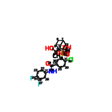 C[C@H](O)[C@@H](O)[C@]1(O)C2CC1C[C@@H](S(=O)(=O)c1cc(C(=O)Nc3ccc(F)c(F)c3)ccc1Cl)C2